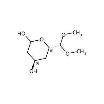 COC(OC)[C@@H]1C[C@@H](O)CC(O)O1